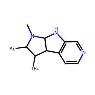 CC(=O)C1C(C(C)(C)C)C2c3ccncc3NC2N1C